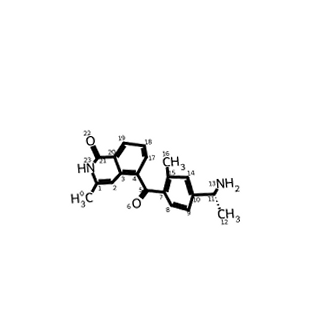 Cc1cc2c(C(=O)c3ccc([C@@H](C)N)cc3C)cccc2c(=O)[nH]1